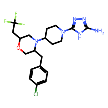 Nc1nnc(N2CCC(N3CC(CC(F)(F)F)OCC3Cc3ccc(Cl)cc3)CC2)[nH]1